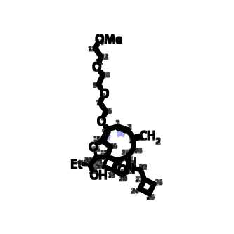 C=C1/C=C\C(OCCOCCOCCOC)=C2/C[C@@]3(CC4CN(CC5CCC5)[C@H](C1)[C@]43O)[C@H]([C@@H](O)CC)O2